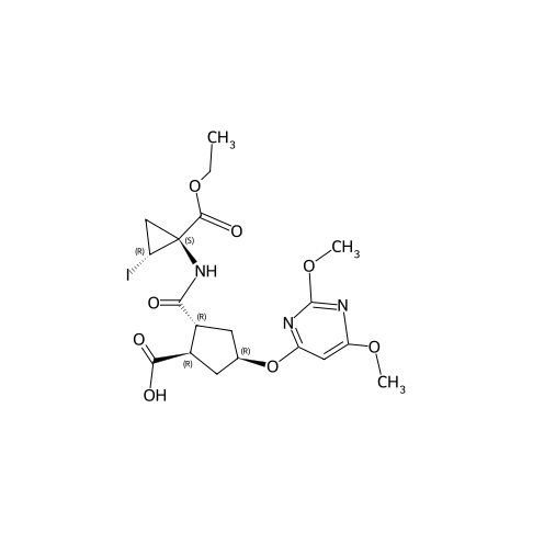 CCOC(=O)[C@@]1(NC(=O)[C@@H]2C[C@@H](Oc3cc(OC)nc(OC)n3)C[C@H]2C(=O)O)C[C@H]1I